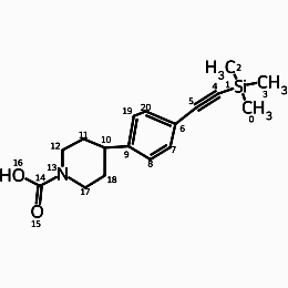 C[Si](C)(C)C#Cc1ccc(C2CCN(C(=O)O)CC2)cc1